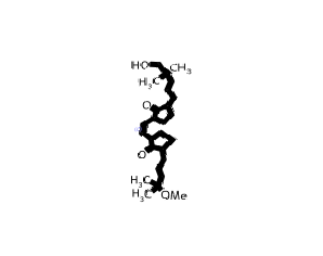 COC(C)(C)CCCC1CCC(/C=C\C2CCC(CCCC(C)(C)CO)C2=O)C1=O